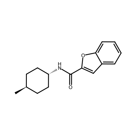 C[C@H]1CC[C@H](NC(=O)c2cc3ccccc3o2)CC1